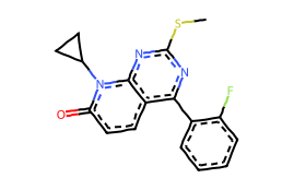 CSc1nc(-c2ccccc2F)c2ccc(=O)n(C3CC3)c2n1